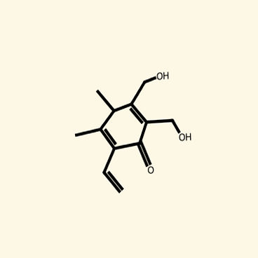 C=CC1=C(C)C(C)C(CO)=C(CO)C1=O